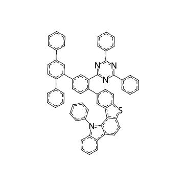 c1ccc(-c2ccc(-c3ccccc3)c(-c3ccc(-c4ccc5sc6ccc7c8ccccc8n(-c8ccccc8)c7c6c5c4)c(-c4nc(-c5ccccc5)nc(-c5ccccc5)n4)c3)c2)cc1